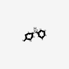 Cc1ccc([SiH2]c2ccccc2)cc1